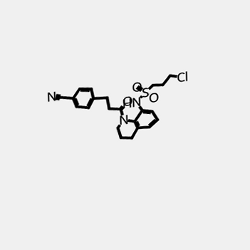 N#Cc1ccc(CCC(=O)N2CCCc3cccc(NS(=O)(=O)CCCCl)c32)cc1